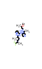 C=C(CCNC(=C)c1cnccc1Nc1nc(C(=C)/C=C\C=C(/C)C(F)F)nn2cccc12)OCC